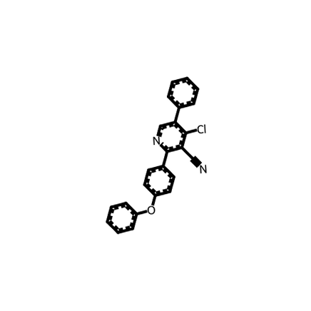 N#Cc1c(-c2ccc(Oc3ccccc3)cc2)ncc(-c2ccccc2)c1Cl